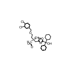 C[N+](C)(CCOCc1ccc(Cl)c(Cl)c1)Cc1noc(C(O)(c2ccccc2)C2CCCCC2)n1.O=C[O-]